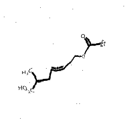 CCC(=O)OCC=CCC(C)C(=O)O